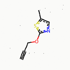 C#CCOc1ncc([CH2])s1